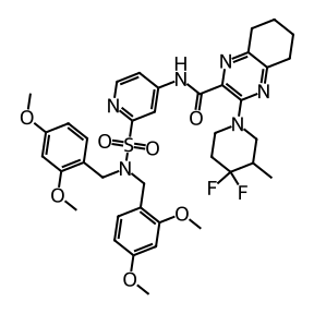 COc1ccc(CN(Cc2ccc(OC)cc2OC)S(=O)(=O)c2cc(NC(=O)c3nc4c(nc3N3CCC(F)(F)C(C)C3)CCCC4)ccn2)c(OC)c1